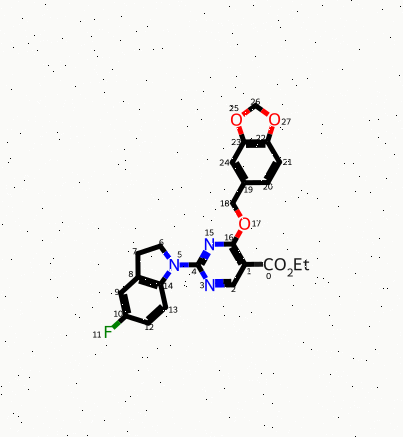 CCOC(=O)c1cnc(N2CCc3cc(F)ccc32)nc1OCc1ccc2c(c1)OCO2